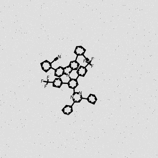 N#Cc1ccccc1-c1ccc2c(c1)c1cc(-c3ccccc3C#N)ccc1n2-c1c(-c2ccc(C(F)(F)F)cc2)cc(-c2nc(-c3ccccc3)cc(-c3ccccc3)n2)cc1-c1ccc(C(F)(F)F)cc1